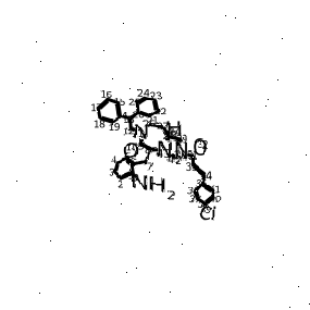 Nc1ccccc1C[C@H]1C(=O)N(CC(c2ccccc2)c2ccccc2)CC[C@H]2CN(C(=O)/C=C/c3ccc(Cl)cc3)CN21